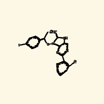 CC(C)c1ccccc1-c1ncc2c(n1)N(OC(C)c1ccc(F)cc1)C(C=O)N2